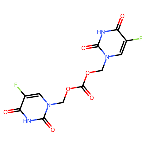 O=C(OCn1cc(F)c(=O)[nH]c1=O)OCn1cc(F)c(=O)[nH]c1=O